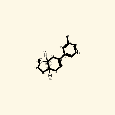 Cc1cncc(C2=CC[C@@H]3CCN[C@@H]3C2)c1